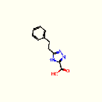 O=C(O)c1nnc(CCc2ccccc2)[nH]1